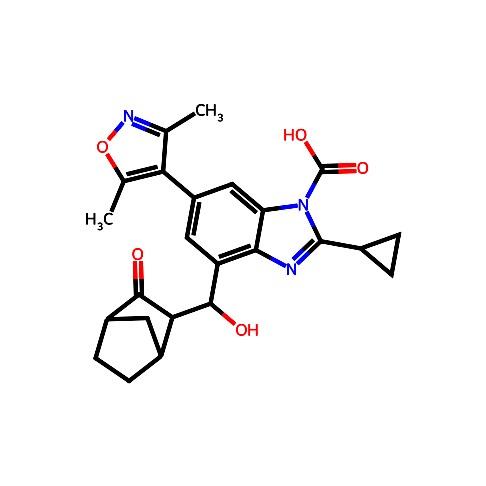 Cc1noc(C)c1-c1cc(C(O)C2C(=O)C3CCC2C3)c2nc(C3CC3)n(C(=O)O)c2c1